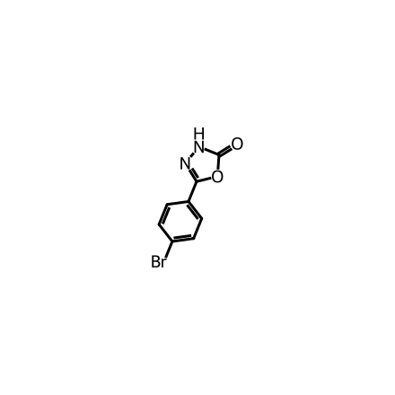 O=c1[nH]nc(-c2ccc(Br)cc2)o1